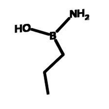 CCCB(N)O